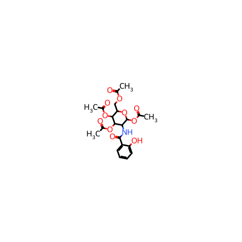 CC(=O)OCC1OC(OC(C)=O)C(NC(=O)c2ccccc2O)C(OC(C)=O)C1OC(C)=O